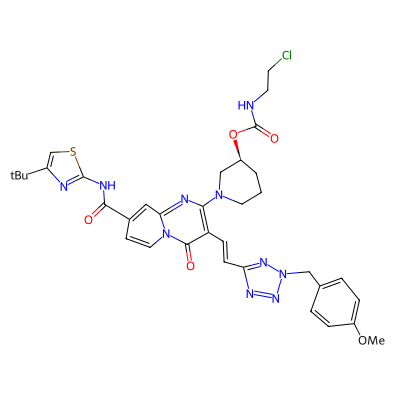 COc1ccc(Cn2nnc(C=Cc3c(N4CCC[C@H](OC(=O)NCCCl)C4)nc4cc(C(=O)Nc5nc(C(C)(C)C)cs5)ccn4c3=O)n2)cc1